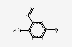 C=Cc1cc(C(C)C)ccc1NC